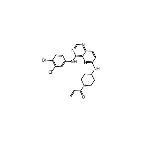 C=CC(=O)N1CCC(Nc2ccc3ncnc(Nc4ccc(Br)c(Cl)c4)c3n2)CC1